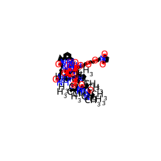 CC[C@H](C)[C@@H]([C@@H](CC(=O)N1CCC[C@H]1[C@H](OC)[C@@H](C)C(=O)N[C@@H](Cc1ccccc1)C(=O)NS(=O)(=O)Cc1cccc(C2(NC(=O)[C@H](CCCNC(N)=O)NC(=O)[C@@H](NC(=O)CCOCCOCCOCCN3C(=O)C=CC3=O)C(C)C)CC2)c1)OC)N(C)C(=O)[C@@H](NC(=O)[C@H](C(C)C)N(C)C)C(C)C